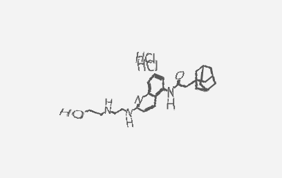 Cl.Cl.O=C(CC12CC3CC(CC(C3)C1)C2)Nc1cccc2nc(NCCNCCO)ccc12